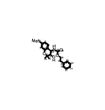 CNc1ccc2c(c1)OC(C)(C)C(O)C2NC(=O)OCCc1ccccc1